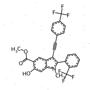 COC(=O)c1cc2c(C#Cc3ccc(C(F)(F)F)cc3)c(-c3ccccc3C(F)(F)F)n(C)c2cc1O